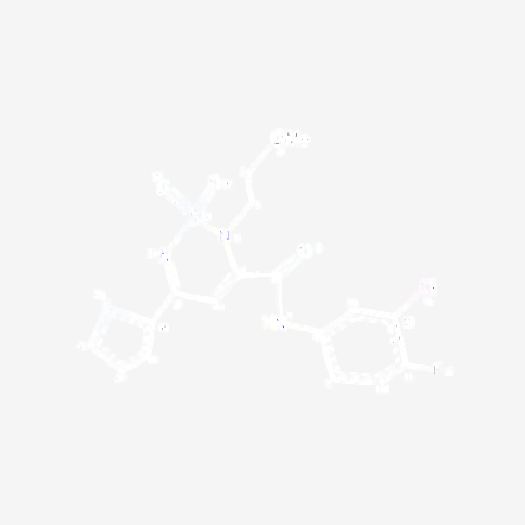 COCCN1C(C(=O)Nc2ccc(F)c(Cl)c2)=CC(c2cccs2)=NS1(=O)=O